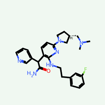 CN(C)C[C@H]1CCN(c2ccc(C(C(N)=O)c3cccnc3)c(NCCc3cccc(F)c3)n2)C1